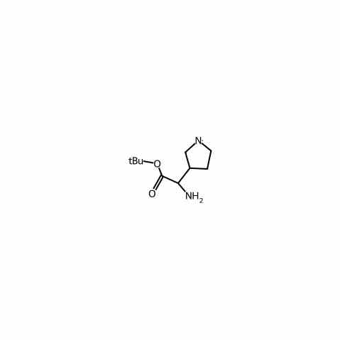 CC(C)(C)OC(=O)C(N)C1CC[N]C1